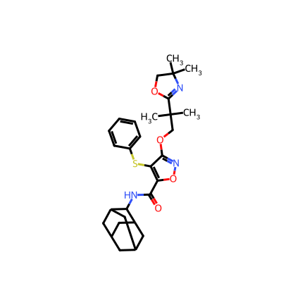 CC1(C)COC(C(C)(C)COc2noc(C(=O)NC3C4CC5CC(C4)CC3C5)c2Sc2ccccc2)=N1